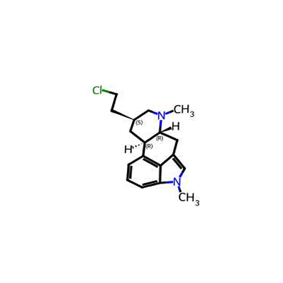 CN1C[C@H](CCCl)C[C@@H]2c3cccc4c3c(cn4C)C[C@H]21